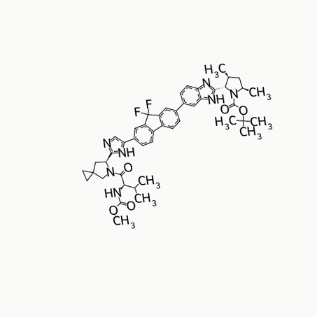 COC(=O)N[C@@H](C(=O)N1CC2(CC2)C[C@H]1c1ncc(-c2ccc3c(c2)C(F)(F)c2cc(-c4ccc5nc([C@@H]6[C@@H](C)C[C@@H](C)N6C(=O)OC(C)(C)C)[nH]c5c4)ccc2-3)[nH]1)C(C)C